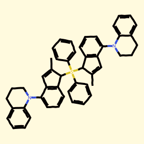 CC1=Cc2c(cccc2N2CCCc3ccccc32)C1S(c1ccccc1)(c1ccccc1)C1C(C)=Cc2c1cccc2N1CCCc2ccccc21